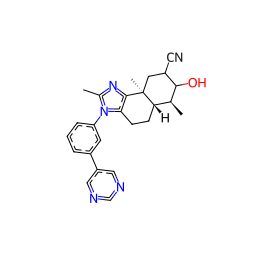 Cc1nc2c(n1-c1cccc(-c3cncnc3)c1)CC[C@H]1[C@H](C)C(O)C(C#N)C[C@]21C